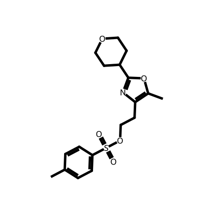 Cc1ccc(S(=O)(=O)OCCc2nc(C3CCOCC3)oc2C)cc1